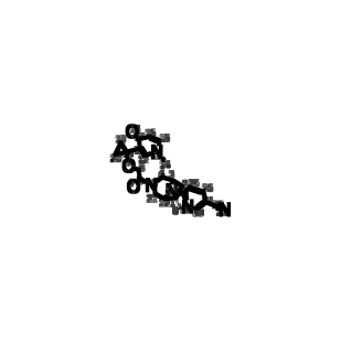 C[C@H]1CC2CN(C(=O)COC3(c4cn(C)ccc4=O)CC3)CC1N2c1ccc(C#N)cn1